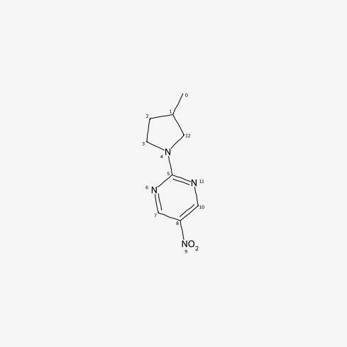 CC1CCN(c2ncc([N+](=O)[O-])cn2)C1